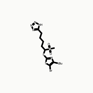 CC(C)(C)c1nc(SC(CCCCc2nnn[nH]2)S(C)(=O)=O)sc1Br